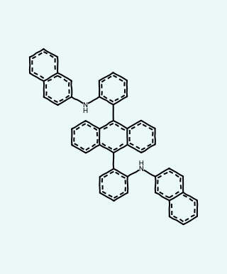 c1ccc(-c2c3ccccc3c(-c3ccccc3Nc3ccc4ccccc4c3)c3ccccc23)c(Nc2ccc3ccccc3c2)c1